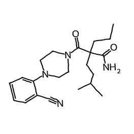 CCCC(CCC(C)C)(C(N)=O)C(=O)N1CCN(c2ccccc2C#N)CC1